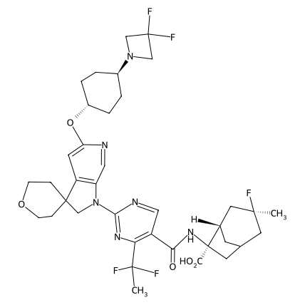 CC(F)(F)c1nc(N2CC3(CCOCC3)c3cc(O[C@H]4CC[C@H](N5CC(F)(F)C5)CC4)ncc32)ncc1C(=O)N[C@]1(C(=O)O)CC2C[C@H]1C[C@@](C)(F)C2